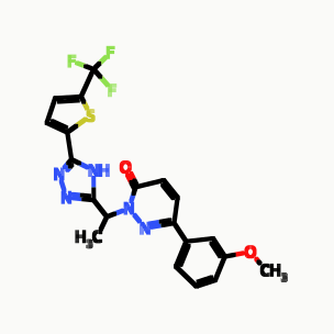 COc1cccc(-c2ccc(=O)n(C(C)c3nnc(-c4ccc(C(F)(F)F)s4)[nH]3)n2)c1